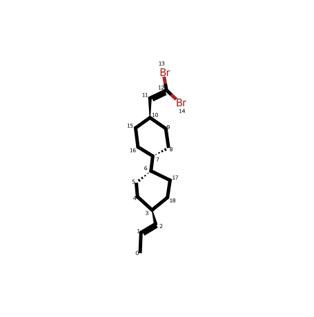 C/C=C/[C@H]1CC[C@H]([C@H]2CC[C@H](C=C(Br)Br)CC2)CC1